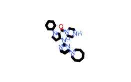 O=C([C@@H]1[C@@H](Nc2nccc(N3CCCCCCC3)n2)CCN1C1CCCCC1)N1CCNCC1